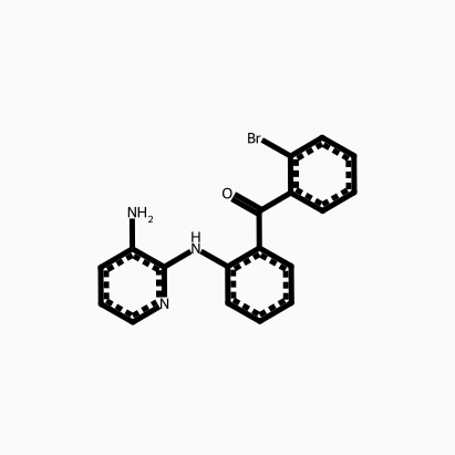 Nc1cccnc1Nc1ccccc1C(=O)c1ccccc1Br